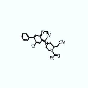 CCC(=O)N1CCN(c2ncnc3cc(-c4ccccc4)c(Cl)cc23)CC1CC#N